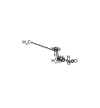 CCC=CCC=CCC=CCC=CCC=CCC=CCCC(=O)NC(CCCCNC(=O)C(C)(C)Oc1ccc(CCNC(=O)c2ccc(Cl)cc2)cc1)C(=O)O